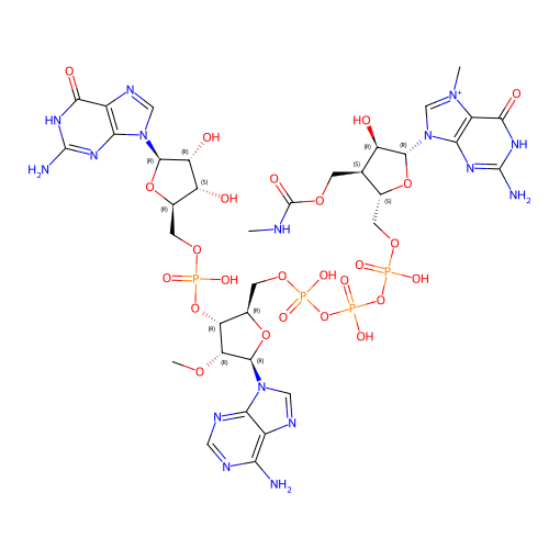 CNC(=O)OC[C@H]1[C@@H](O)[C@H](n2c[n+](C)c3c(=O)[nH]c(N)nc32)O[C@@H]1COP(=O)(O)OP(=O)(O)OP(=O)(O)OC[C@H]1O[C@@H](n2cnc3c(N)ncnc32)[C@H](OC)[C@@H]1OP(=O)(O)OC[C@H]1O[C@@H](n2cnc3c(=O)[nH]c(N)nc32)[C@H](O)[C@@H]1O